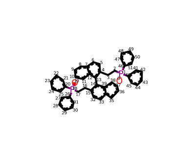 O=P(CCc1ccc2ccccc2c1-c1c(CCP(=O)(c2ccccc2)c2ccccc2)ccc2ccccc12)(c1ccccc1)c1ccccc1